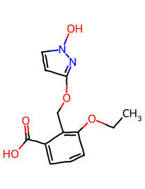 CCOc1cccc(C(=O)O)c1COc1ccn(O)n1